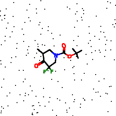 CC1CN(C(=O)OC(C)(C)C)CC(F)(F)C1=O